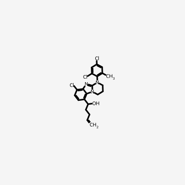 C=CCCC(O)c1ccc(Cl)c2nc3n(c12)CCCN3c1c(C)cc(Cl)cc1Cl